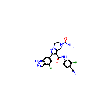 N#Cc1ccc(NC(=O)c2c(-c3cc(F)c4cn[nH]c4c3)nn3c2CN(C(N)=O)CC3)cc1F